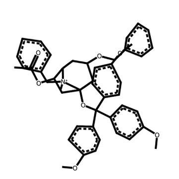 COc1ccc(C(OC23CC(OCc4ccccc4)CC(C(OC(C)=O)C2)[N+]3(C)Cc2ccccc2)(c2ccc(OC)cc2)c2ccc(OC)cc2)cc1